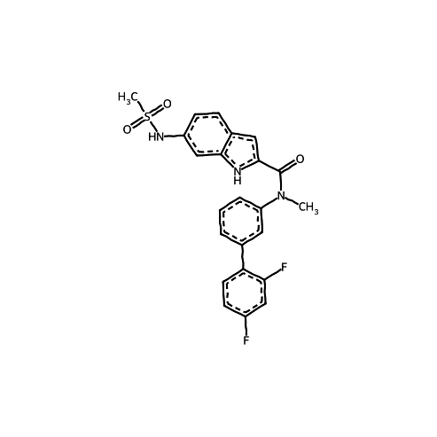 CN(C(=O)c1cc2ccc(NS(C)(=O)=O)cc2[nH]1)c1cccc(-c2ccc(F)cc2F)c1